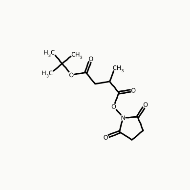 CC(CC(=O)OC(C)(C)C)C(=O)ON1C(=O)CCC1=O